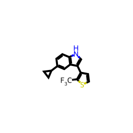 FC(F)(F)c1sccc1-c1c[nH]c2ccc(C3CC3)cc12